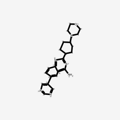 Nc1nc(C2CCC(N3CCOCC3)CC2)nc2ccc(-c3cncnc3)cc12